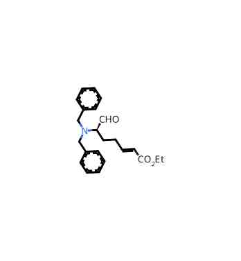 CCOC(=O)C=CCC[C@H](C=O)N(Cc1ccccc1)Cc1ccccc1